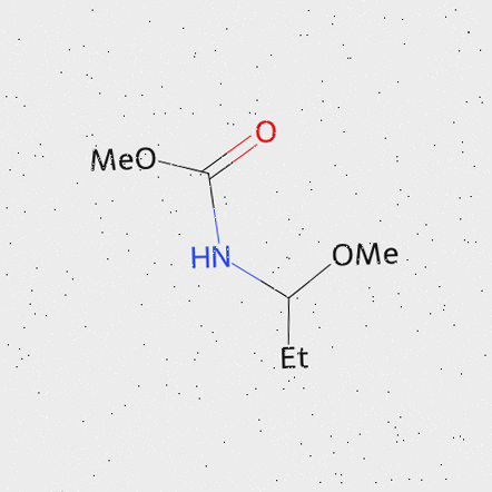 CCC(NC(=O)OC)OC